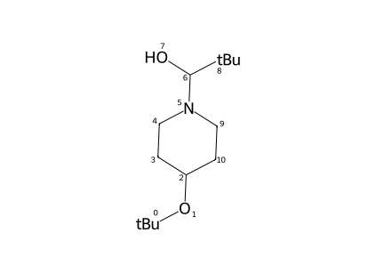 CC(C)(C)OC1CCN(C(O)C(C)(C)C)CC1